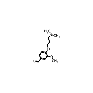 COc1cc(C=O)ccc1OCCCN(C)C